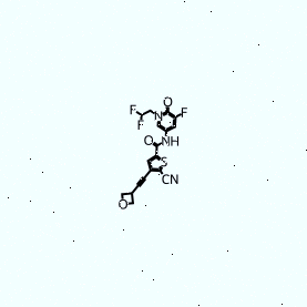 N#Cc1sc(C(=O)Nc2cc(F)c(=O)n(CC(F)F)c2)cc1C#CC1COC1